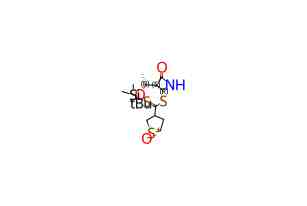 C[C@@H](O[Si](C)(C)C(C)(C)C)[C@H]1C(=O)N[C@@H]1SC(=S)C1CC[S+]([O-])C1